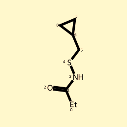 CCC(=O)NSCC1CC1